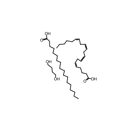 CCCCC/C=C\C/C=C\C/C=C\C/C=C\CCCC(=O)O.CCCCCCCCCCCCCCCCCC(=O)O.OCCCCO